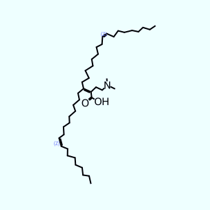 CCCCCCCC/C=C\CCCCCCCCC(CCCCCCCC/C=C\CCCCCCCC)=C(CCN(C)C)C(=O)O